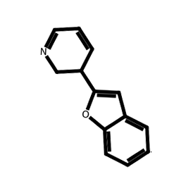 [c]1ccc2oc(C3C=CC=NC3)cc2c1